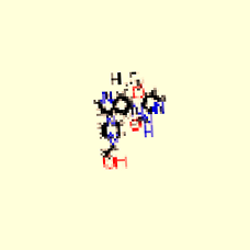 CCOc1ccnc2[nH]c(=O)n(-c3ccc4nccc(N5CCN(CCO)CC5)c4c3)c12